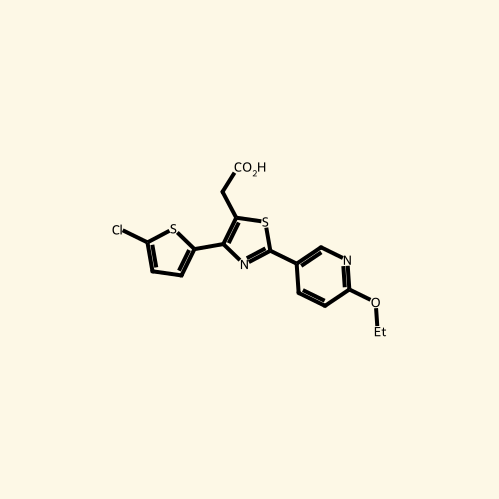 CCOc1ccc(-c2nc(-c3ccc(Cl)s3)c(CC(=O)O)s2)cn1